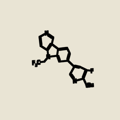 CC(C)(C)c1ncc(-c2ccc3c4cnccc4n(CC(F)(F)F)c3c2)cc1F